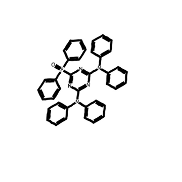 O=P(c1ccccc1)(c1ccccc1)c1nc(N(c2ccccc2)c2ccccc2)nc(N(c2ccccc2)c2ccccc2)n1